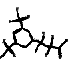 O=C(F)C(F)(F)C(F)(F)N1CC(C(F)(F)F)CC(C(F)(F)F)C1